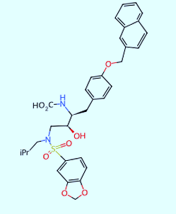 CC(C)CN(C[C@H](O)[C@H](Cc1ccc(OCc2ccc3ccccc3c2)cc1)NC(=O)O)S(=O)(=O)c1ccc2c(c1)OCO2